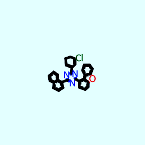 ClC1=CC(c2nc(-c3cccc4ccccc34)nc(-c3cccc4oc5ccccc5c34)n2)=CCC1